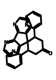 O=C1CC(c2ccccn2)C2(c3cccnc3-c3ncccc32)C(c2ccccn2)C1